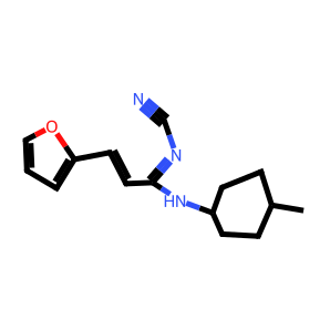 CC1CCC(NC(C=Cc2ccco2)=NC#N)CC1